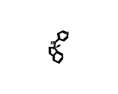 C[N+]1(Nc2ccncc2)C=Cc2ccccc21